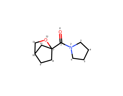 O=C(N1CCCC1)C12CCC(CO1)C2